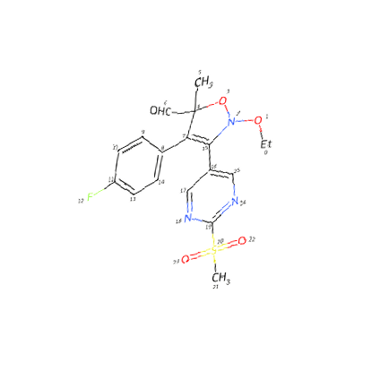 CCON1OC(C)(C=O)C(c2ccc(F)cc2)=C1c1cnc(S(C)(=O)=O)nc1